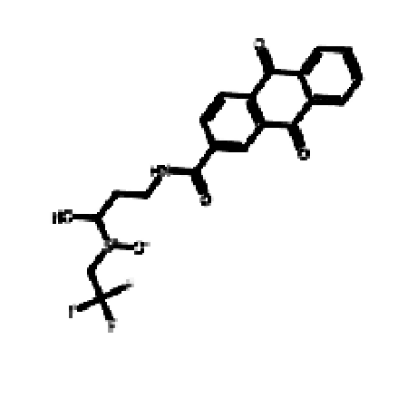 O=C(NCCC(O)[S+]([O-])CC(F)(F)F)c1ccc2c(c1)C(=O)c1ccccc1C2=O